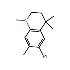 Cc1cc2c(cc1C(C)C)C(C)(C)CCN2C